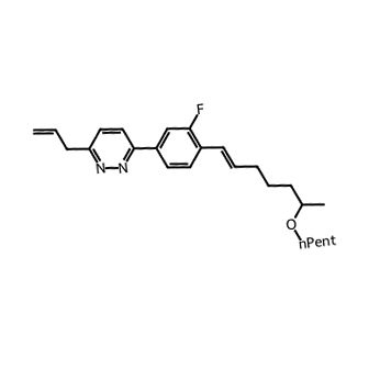 C=CCc1ccc(-c2ccc(C=CCCCC(C)OCCCCC)c(F)c2)nn1